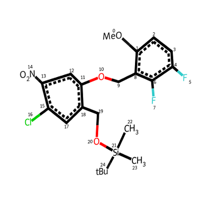 COc1ccc(F)c(F)c1COc1cc([N+](=O)[O-])c(Cl)cc1CO[Si](C)(C)C(C)(C)C